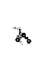 C/C(=C\c1ccc2c(c1)N(S(=O)(=O)c1cccc(C(F)(F)F)c1)C[C@H](CCC(=O)O)O2)c1ccccc1